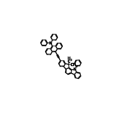 CC1(C)c2cc(C#Cc3c4ccccc4c(N(c4ccccc4)c4ccccc4)c4ccccc34)ccc2-c2ccc3c4ccccc4n(-c4ccccc4)c3c21